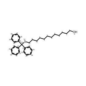 OCCCCCCCCCCCCSC(c1ccccc1)(c1ccccc1)c1ccccc1